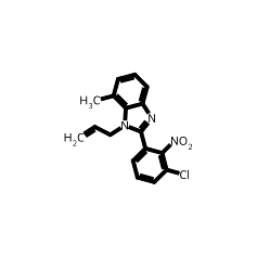 C=CCn1c(-c2cccc(Cl)c2[N+](=O)[O-])nc2cccc(C)c21